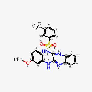 CCCOc1cccc(Nc2nc3ccccc3nc2NS(=O)(=O)c2cccc([N+](=O)[O-])c2)c1